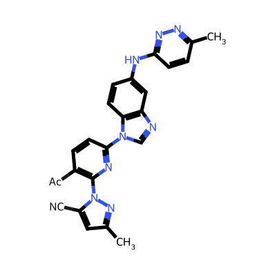 CC(=O)c1ccc(-n2cnc3cc(Nc4ccc(C)nn4)ccc32)nc1-n1nc(C)cc1C#N